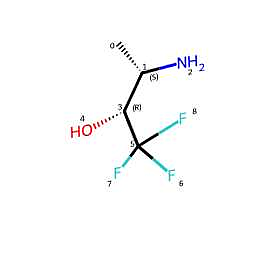 C[C@H](N)[C@@H](O)C(F)(F)F